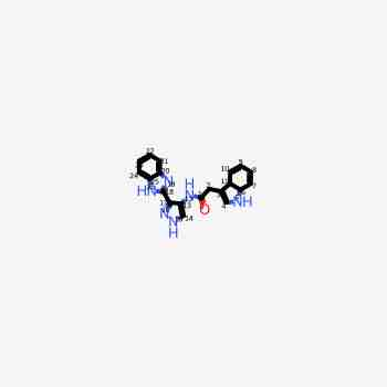 O=C(CC1=CNC2C=CC=CC12)Nc1c[nH]nc1-c1nc2ccccc2[nH]1